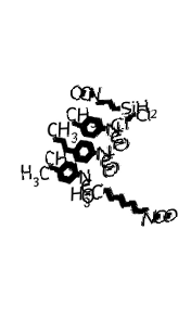 CC(C)c1ccc(N=C=O)cc1.CCCCCCCCN=C=O.CCCCc1ccc(N=C=O)cc1.CCc1ccc(N=C=O)cc1.O=C=NCCC[SiH2]C(Cl)Cl